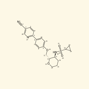 N#Cc1ccc(-c2ccc(OC[C@H]3OCCC[C@@H]3NS(=O)(=O)C3CC3)cc2)nc1